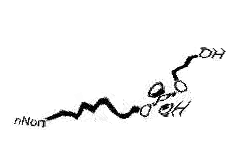 CCCCCCCCCCCCCCCCOP(=O)(O)OCCCO